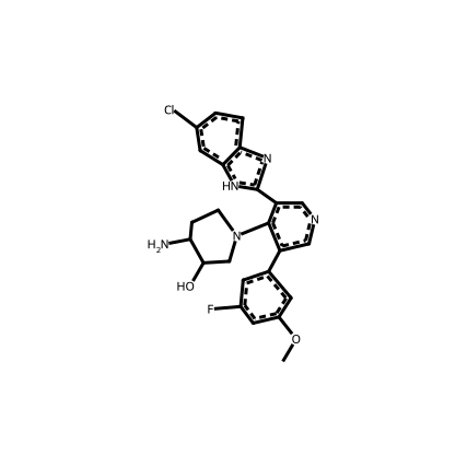 COc1cc(F)cc(-c2cncc(-c3nc4ccc(Cl)cc4[nH]3)c2N2CCC(N)C(O)C2)c1